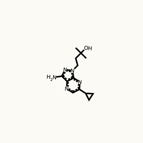 CC(C)(O)CCn1nc(N)c2ncc(C3CC3)nc21